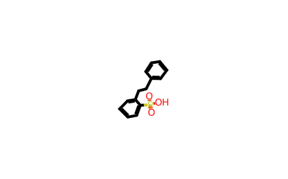 O=S(=O)(O)c1ccccc1CCc1ccccc1